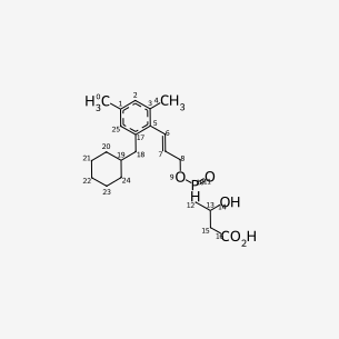 Cc1cc(C)c(C=CCO[PH](=O)CC(O)CC(=O)O)c(CC2CCCCC2)c1